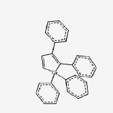 C1=[CH][Ge]([c]2ccccc2)([c]2ccccc2)[C](c2ccccc2)=C1c1ccccc1